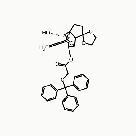 C=C1C[C@H](OC(=O)COC(c2ccccc2)(c2ccccc2)c2ccccc2)C2CCCC3(CCC4(OCCO4)C23)C[C@@H]1O